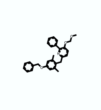 COCOc1ccc(Cc2c(C)cc(OCc3ccccc3)cc2C)nc1-c1ccccc1